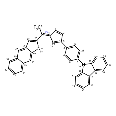 FC(F)(F)/C(=C1\C=CC(c2ccc(-n3c4ccccc4c4ccccc43)cc2)=N1)c1cc2cc3ccccc3cc2[nH]1